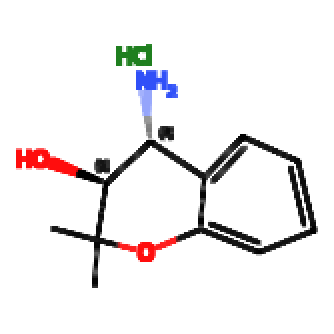 CC1(C)Oc2ccccc2[C@@H](N)[C@@H]1O.Cl